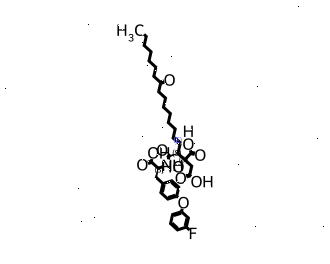 CCCCCCCC(=O)CCCCCC/C=C/[C@H](C(=O)N[C@@H](Cc1ccc(Oc2cccc(F)c2)cc1)C(=O)O)[C@@](O)(CC(=O)O)C(=O)O